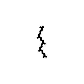 C=C(C)C=CCC=C(C)CCC=C(C)CCC=C(C)CCC=C(C)C